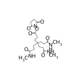 CNC(=O)CCC(CCC(=O)NC)(CCC(=O)NC)CCC(=O)ON1C(=O)CCC1=O